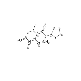 CC(C)[C@H](C(=O)C(N)C1CCCC1)C(=O)N(C)C=O